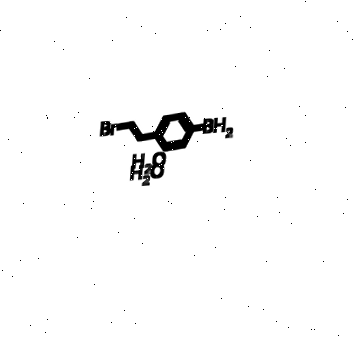 Bc1ccc(CCBr)cc1.O.O